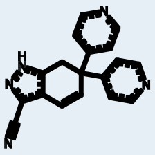 N#Cc1n[nH]c2c1C=CC(c1ccncc1)(c1ccncc1)C2